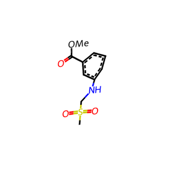 COC(=O)c1cccc(NCS(C)(=O)=O)c1